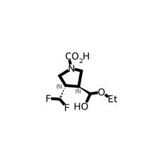 CCOC(O)[C@@H]1CN(C(=O)O)C[C@H]1C(F)F